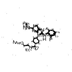 CCN(CCOC)C(=O)[C@H]1CC[C@@H](n2c(Nc3c(F)cccc3F)nc3cnc(NC(C)C)nc32)CC1